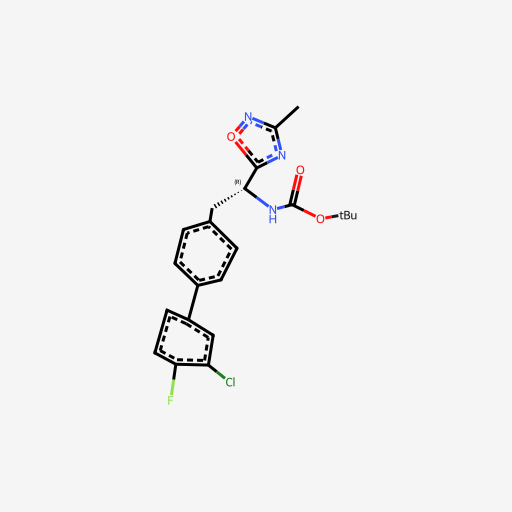 Cc1noc([C@@H](Cc2ccc(-c3ccc(F)c(Cl)c3)cc2)NC(=O)OC(C)(C)C)n1